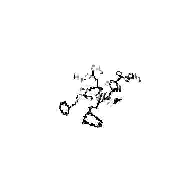 COC(=O)C1COC(C(O)C(CCc2ccccc2)NCC(CC(C)C)NC(=O)OCc2ccccc2)=N1